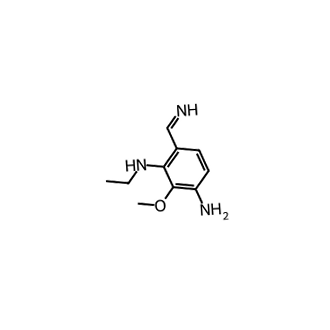 CCNc1c(C=N)ccc(N)c1OC